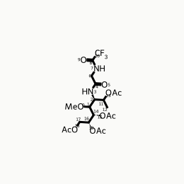 COC([C@@H](NC(=O)CNC(=O)C(F)(F)F)C(C)OC(C)=O)[C@H](OC(C)=O)[C@@H](COC(C)=O)OC(C)=O